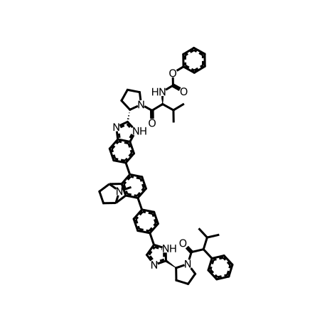 CC(C)C(C(=O)N1CCC[C@H]1c1ncc(-c2ccc(-c3ccc(-c4ccc5nc([C@@H]6CCCN6C(=O)[C@@H](NC(=O)Oc6ccccc6)C(C)C)[nH]c5c4)c4c3C3CCC4N3C)cc2)[nH]1)c1ccccc1